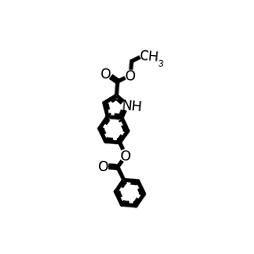 CCOC(=O)c1cc2ccc(OC(=O)c3ccccc3)cc2[nH]1